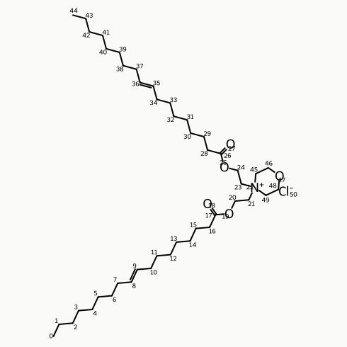 CCCCCCCCC=CCCCCCCCC(=O)OCC[N+]1(CCOC(=O)CCCCCCCC=CCCCCCCCC)CCOCC1.[Cl-]